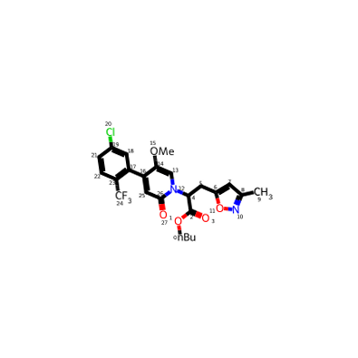 CCCCOC(=O)C(Cc1cc(C)no1)n1cc(OC)c(-c2cc(Cl)ccc2C(F)(F)F)cc1=O